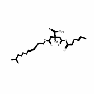 CCCCCC(=O)OC(=O)CC(O)(CC(=O)OCCCCCCCCC(C)C)C(=O)O